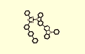 C1=C(c2ccc3c(c2)c2ccccc2n3-c2nc(-c3ccccc3)nc(-c3cccc(-c4ccc(-c5ccccc5)cc4)c3)n2)C=C2c3ccccc3N(c3ccccc3)C2C1